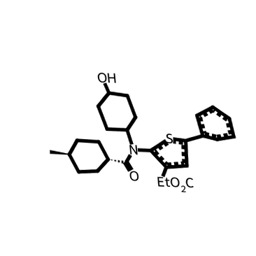 CCOC(=O)c1cc(-c2ccccc2)sc1N(C(=O)[C@H]1CC[C@H](C)CC1)C1CCC(O)CC1